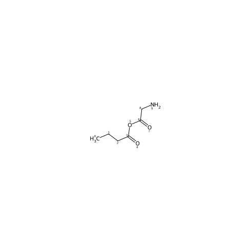 CCCC(=O)OC(=O)CN